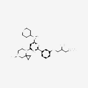 CNCC(O)COc1cccc(-c2nc(N(C)C3CCOCC3)cc(N3CCN(C(C)=O)CC34CC4)n2)c1